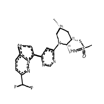 C[C@@H]1C[C@H](SS(C)(=N)=O)[C@H](C)N(c2cc(-c3cnc4ccc(C(F)F)nn34)ncn2)C1